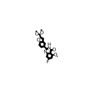 COc1cc(F)cc2nc(-c3ccc4oc(C(OC)OC)cc4c3)[nH]c(=O)c12